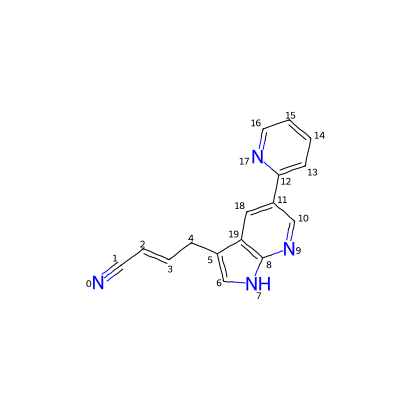 N#CC=CCc1c[nH]c2ncc(-c3ccccn3)cc12